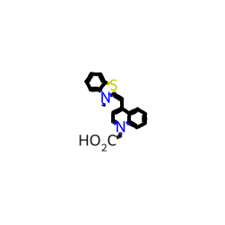 CN1/C(=C\c2cc[n+](CC(=O)O)c3ccccc23)Sc2ccccc21